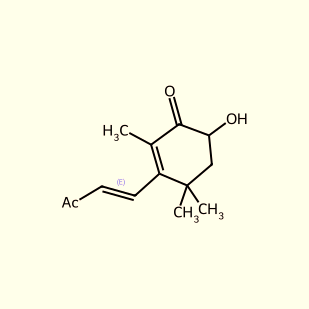 CC(=O)/C=C/C1=C(C)C(=O)C(O)CC1(C)C